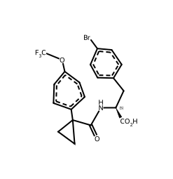 O=C(O)[C@H](Cc1ccc(Br)cc1)NC(=O)C1(c2ccc(OC(F)(F)F)cc2)CC1